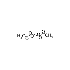 CC1OC1C(=O)OCCOC(=O)C1OC1C